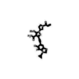 C=CC(=O)N1CCC(n2nc(C#Cc3cc4ncn(C5CC5)c4c(F)c3Cl)c(C(N)=O)c2NC)C1